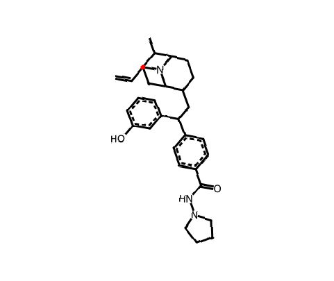 C=CCN1C2CCC(CC(c3ccc(C(=O)NN4CCCC4)cc3)c3cccc(O)c3)C1CCC2C